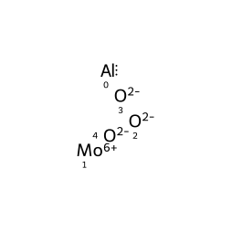 [Al].[Mo+6].[O-2].[O-2].[O-2]